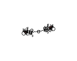 C[C@@]12CCCCC[C@@H](Cc3c(F)cc(OC(=O)CCCCOCCCCC(=O)Oc4cc(F)c5c(c4)[C@@]4(C)CCCCC[C@@H](C5)[C@@H]4N)cc31)[C@@H]2N